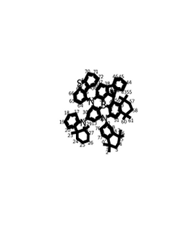 CC1(C)CCC(C)(C)c2cc(N3c4cc(N5c6ccccc6C6(C)CCCCC56C)cc5c4B4c6c(ccc7c6C(C)(c6ccccc6-7)c6c4c3cc3c6C(C)(C)CCC3(C)C)N5c3cccc4sc5ccccc5c34)ccc21